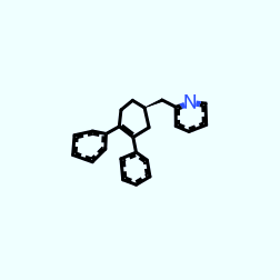 c1ccc(C2=C(c3ccccc3)C[C@H](Cc3ccccn3)CC2)cc1